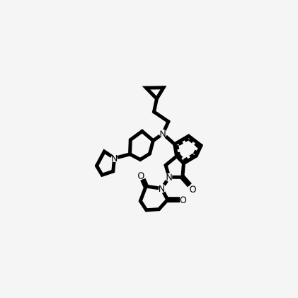 O=C1c2cccc(N(CCC3CC3)C3CCC(N4CCCC4)CC3)c2CN1N1C(=O)CCCC1=O